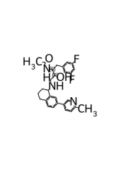 CC(=O)N[C@@H](Cc1cc(F)cc(F)c1)[C@H](O)CNC1CCCc2ccc(-c3ccc(C)nc3)cc21